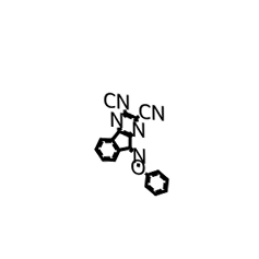 N#Cc1nc2c(nc1C#N)-c1ccccc1C2=NOc1ccccc1